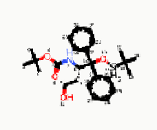 CC(C)(C)OC(=O)N[C@@H](CCO)C(O[SiH2]C(C)(C)C)(c1ccccc1)c1ccccc1